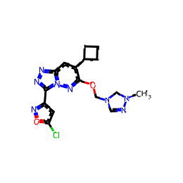 CN1CN(COc2nn3c(-c4cc(Cl)on4)nnc3cc2C2CCC2)C=N1